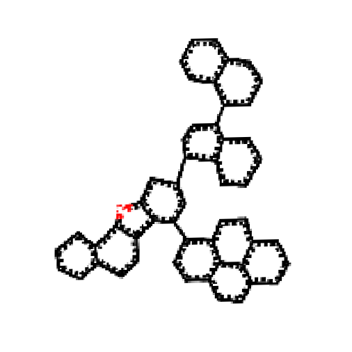 c1ccc2c(-c3ccc(-c4cc(-c5ccc6ccc7cccc8ccc5c6c78)c5c(c4)oc4c6ccccc6ccc45)c4ccccc34)cccc2c1